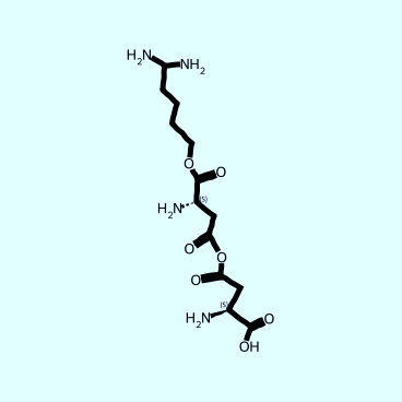 NC(N)CCCCOC(=O)[C@@H](N)CC(=O)OC(=O)C[C@H](N)C(=O)O